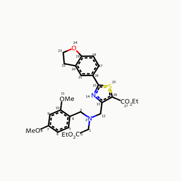 CCOC(=O)CN(Cc1ccc(OC)cc1OC)Cc1nc(-c2ccc3c(c2)CCO3)sc1C(=O)OCC